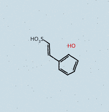 O=S(=O)(O)C=Cc1ccccc1.[OH]